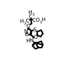 CC(C)(COc1noc(C(=O)NC2C3CC4CC(C3)CC2C4)c1SC1CCCC1)C(=O)O